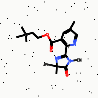 Cc1cnc(C2=NC(C)(C(C)C)C(=O)N2C#N)c(C(=O)OCC[Si](C)(C)C)c1